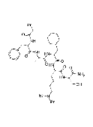 CCN(CCCC[C@H](NC(=O)C(CC1CCCCC1)NC(=O)[C@H](C)NC(=O)C(Cc1ccccc1)NC(=O)CC(C)C)C(=O)N[C@@H](CO)C(N)=O)C(C)C